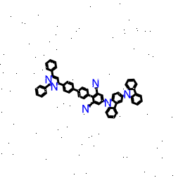 N#Cc1cc(-n2c3ccccc3c3cc(-n4c5ccccc5c5ccccc54)ccc32)cc(C#N)c1-c1ccc(-c2ccc(-c3cc(-c4ccccc4)nc(-c4ccccc4)n3)cc2)cc1